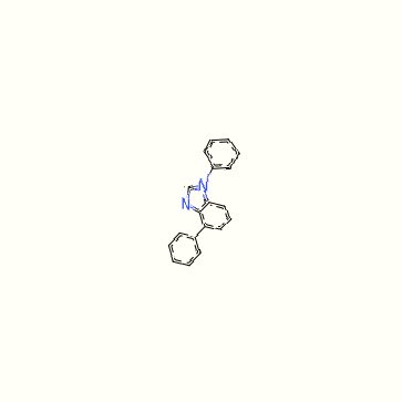 [c]1nc2c(-c3ccccc3)cccc2n1-c1ccccc1